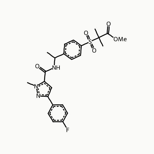 COC(=O)C(C)(C)S(=O)(=O)c1ccc(C(C)NC(=O)c2cc(-c3ccc(F)cc3)nn2C)cc1